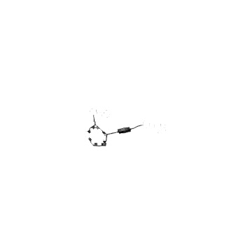 O=Cc1sccc1C#CC(=O)O